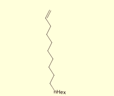 C=CCCCCCCCCCCCCCC